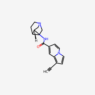 C#Cc1ccn2ccc(C(=O)N[C@H]3CN4CCC3CC4)cc12